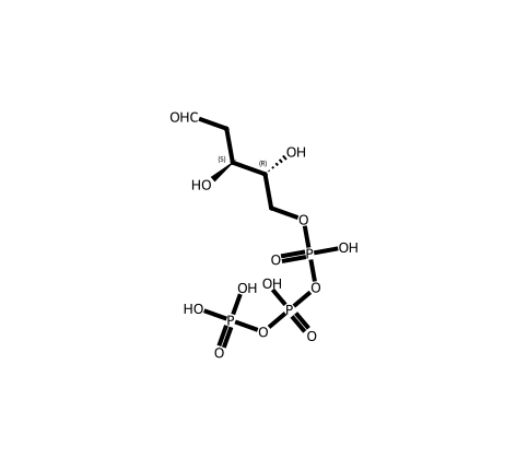 O=CC[C@H](O)[C@H](O)COP(=O)(O)OP(=O)(O)OP(=O)(O)O